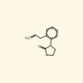 C=CCc1ccccc1N1CC[N]C1=O